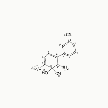 N#Cc1cccc(C2=CC=C(C(=O)O)C(O)(O)C2N)c1